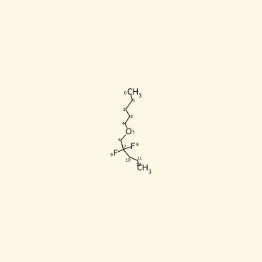 CCCCCOCC(F)(F)CCC